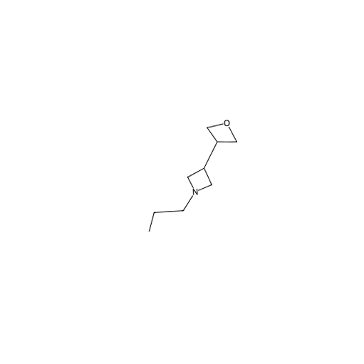 CCCN1CC(C2COC2)C1